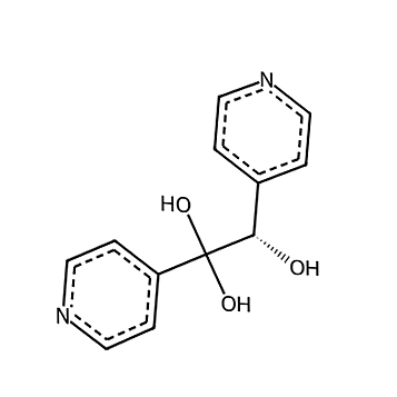 O[C@@H](c1ccncc1)C(O)(O)c1ccncc1